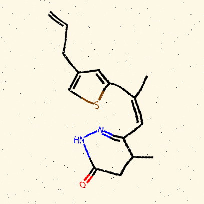 C=CCc1csc(C(C)=CC2=NNC(=O)CC2C)c1